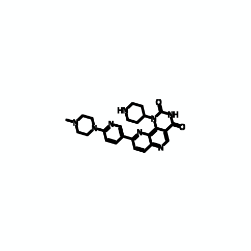 CN1CCN(c2ccc(-c3ccc4ncc5c(=O)[nH]c(=O)n(C6CCNCC6)c5c4n3)cn2)CC1